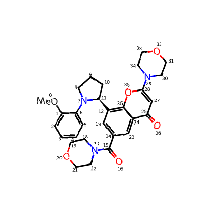 COc1ccccc1N1CCC[C@H]1c1cc(C(=O)N2CCOCC2)cc2c(=O)cc(N3CCOCC3)oc12